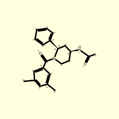 CC(=O)N[C@H]1CCN(C(=O)c2cc(C)cc(C)c2)[C@@H](c2ccccc2)C1